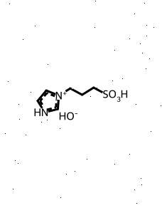 O=S(=O)(O)CCC[n+]1cc[nH]c1.[OH-]